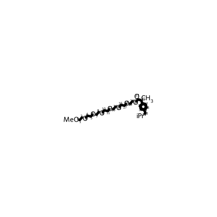 COCCOCCOCCOCCOCCOCCOCCOC(=O)C(C)c1ccc(CC(C)C)cc1